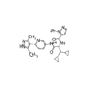 Cc1n[nH]c(C)c1-c1ccc(NC(=O)C(NC(=O)c2ccnn2C(C)C)C(C2CC2)C2CC2)cn1